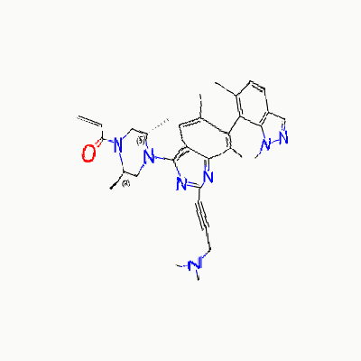 C=CC(=O)N1C[C@H](C)N(c2nc(C#CCN(C)C)nc3c(C)c(-c4c(C)ccc5cnn(C)c45)c(C)cc23)C[C@H]1C